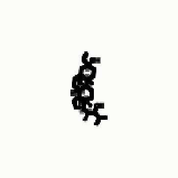 CC[C@]1(O)CC[C@@]2(C)C(=CC[C@H]3[C@@H]4CC[C@H]([C@H](C)C(O)C(C)C)[C@@]4(C)CC[C@@H]32)C1